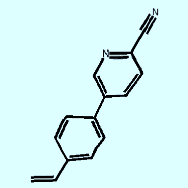 C=Cc1ccc(-c2ccc(C#N)nc2)cc1